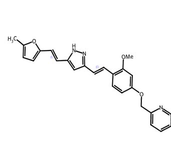 COc1cc(OCc2ccccn2)ccc1/C=C/c1cc(/C=C/c2ccc(C)o2)[nH]n1